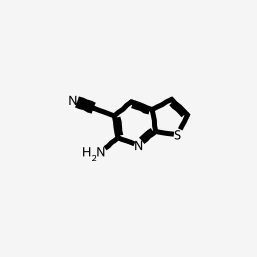 N#Cc1cc2ccsc2nc1N